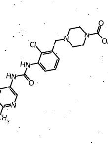 Cc1ccc(NC(=O)Nc2cccc(CN3CCN(C(=O)O)CC3)c2Cl)cn1